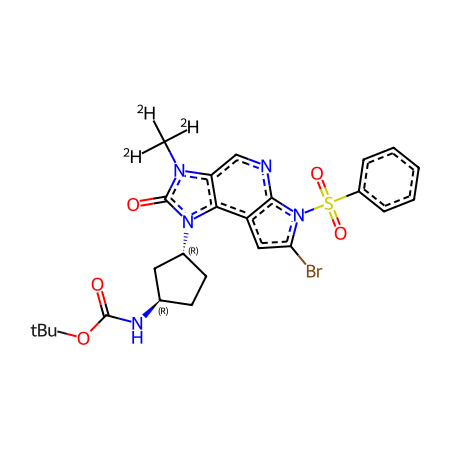 [2H]C([2H])([2H])n1c(=O)n([C@@H]2CC[C@@H](NC(=O)OC(C)(C)C)C2)c2c3cc(Br)n(S(=O)(=O)c4ccccc4)c3ncc21